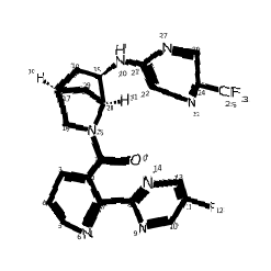 O=C(c1cccnc1-c1ncc(F)cn1)N1C[C@H]2C[C@@H](Nc3cnc(C(F)(F)F)cn3)[C@@H]1C2